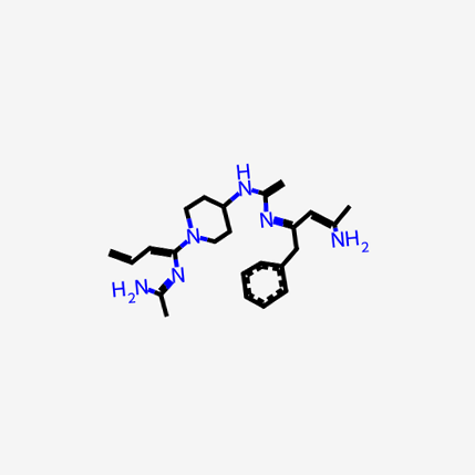 C=C/C=C(\N=C(\C)N)N1CCC(NC(=C)/N=C(\C=C(\C)N)Cc2ccccc2)CC1